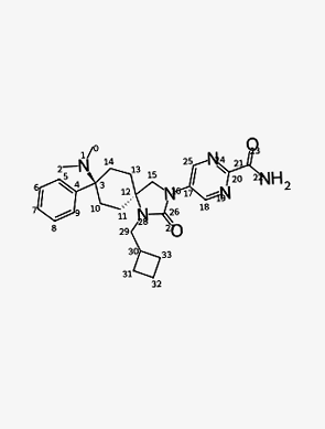 CN(C)[C@]1(c2ccccc2)CC[C@]2(CC1)CN(c1cnc(C(N)=O)nc1)C(=O)N2CC1CCC1